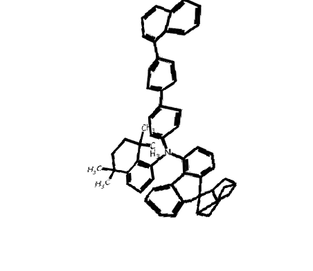 CC1(C)CCC(C)(C)c2c(N(c3ccc(-c4ccc(-c5cccc6ccccc56)cc4)cc3)c3cccc4c3-c3ccccc3C43C4CC5CC(C4)C3C5)cccc21